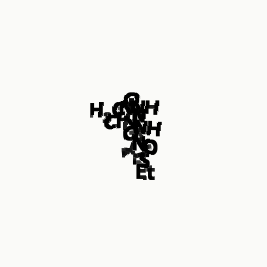 CCc1cc2c(s1)C(=O)N(CC(=O)Nc1nc(Cl)c3c(n1)[nH]c(=O)n3C)CC21CC1